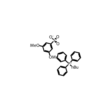 CCCC[P+](c1ccccc1)(c1ccccc1)c1ccccc1.COc1cc(OC)cc(S(=O)(=O)[O-])c1